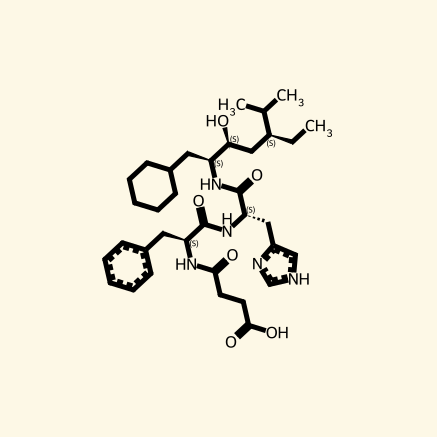 CC[C@@H](C[C@H](O)[C@H](CC1CCCCC1)NC(=O)[C@H](Cc1c[nH]cn1)NC(=O)[C@H](Cc1ccccc1)NC(=O)CCC(=O)O)C(C)C